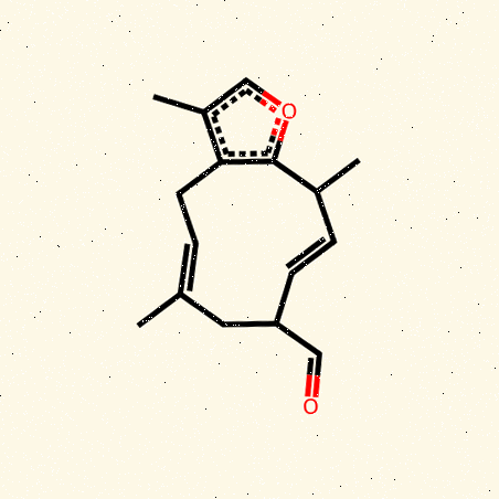 C/C1=C\Cc2c(C)coc2C(C)/C=C/C(C=O)C1